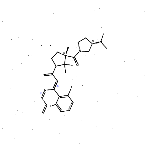 C=C/N=N\C(=C/C(=C)C1CC[C@](C)(C(=O)N2CC[C@@H](N(C)C)C2)C1(C)C)c1c(F)cccc1F